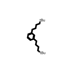 CC(C)(C)CCCCc1cccc(CCCCC(C)(C)C)c1